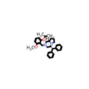 COc1cccc(OC(C)C)c1CN1C[C@@H]2CCCN2[C@H](C(c2ccccc2)c2ccccc2)C1